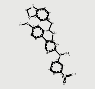 CCOc1ccc(-c2cnc(N(N)c3cccc([SH](=N)=O)c3)nc2NCCc2ccc3c(c2)OCO3)cc1